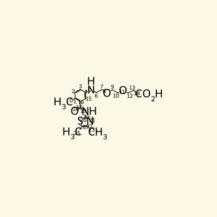 Cc1ccc(NCCOCCOCCC(=O)O)cc1C(=O)Nc1nc(C)c(C)s1